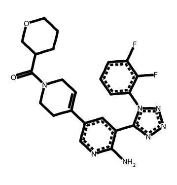 Nc1ncc(C2=CCN(C(=O)C3CCCOC3)CC2)cc1-c1nnnn1-c1cccc(F)c1F